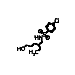 CCC(CCCO)CNS(=O)(=O)c1ccc(Cl)cc1